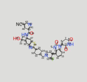 Cn1c(=O)n([C@@H]2CCC(=O)NC2=O)c2cccc([C@@H]3CCN(CC4CCC(c5nc6cc(C(C)(C)O)c(NC(=O)c7cncc(C#N)c7)cc6s5)CC4)C[C@H]3F)c21